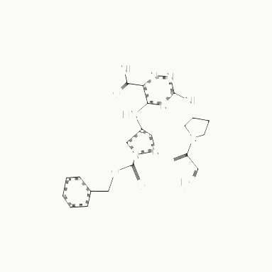 C=CC(=O)N1CC[C@@H](Nc2nnc(C(N)=O)c(Nc3cnn(C(=O)OCc4ccccc4)c3)n2)C1